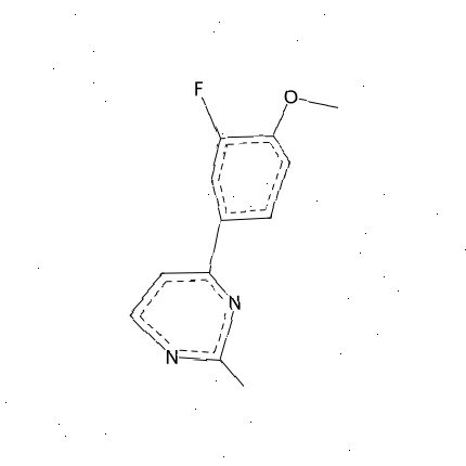 COc1ccc(-c2ccnc(C)n2)cc1F